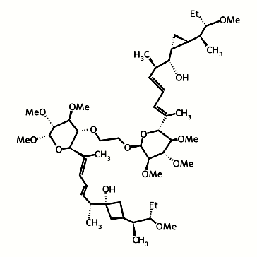 CC[C@H](OC)[C@@H](C)[C@@H]1C[C@H]1[C@H](O)[C@H](C)/C=C/C=C(\C)[C@H]1O[C@H](OCCO[C@H]2[C@H](OC)[C@@H](OC)[C@@H](OC)O[C@@H]2/C(C)=C/C=C/[C@@H](C)[C@]2(O)C[C@H]([C@H](C)[C@H](CC)OC)C2)[C@H](OC)[C@@H](OC)[C@@H]1OC